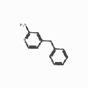 Nc1cc(Cc2ccccc2)ccn1